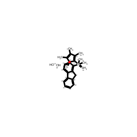 CC1=C(C)C(C)[C]([Ti]([CH3])([CH3])(=[SiH2])[c]2cccc3c2Cc2ccccc2-3)=C1C.Cl.Cl